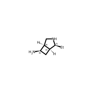 CC[C@@H]1NC[C@H]2[C@@H]1C[C@H]2N